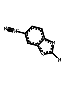 N#[N+]c1ccc2nc(N)sc2c1